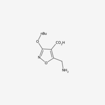 CCCCOc1noc(CN)c1C(=O)O